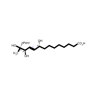 CCCCC[C@](C)(O)[C@H](O)/C=C/[C@H](O)CCCCCCCC(=O)O